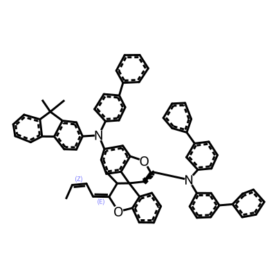 C/C=C\C=C1\Oc2ccccc2C2(c3ccc(N(c4cccc(-c5ccccc5)c4)c4cccc(-c5ccccc5)c4)cc3Oc3cc(N(c4ccc(-c5ccccc5)cc4)c4ccc5c(c4)C(C)(C)c4ccccc4-5)ccc32)C1C